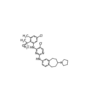 Cc1cc(Cl)cc(Nc2nc(Nc3ccc4c(c3)CCC(N3CCCC3)CC4)ncc2Cl)c1P(C)(C)=O